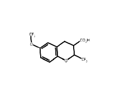 O=C(O)C1Cc2cc(OC(F)(F)F)ccc2OC1C(F)(F)F